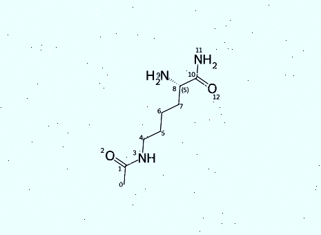 CC(=O)NCCCC[C@H](N)C(N)=O